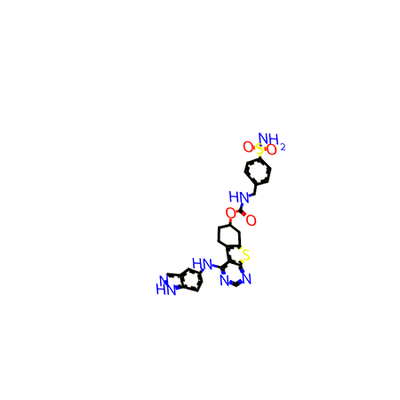 NS(=O)(=O)c1ccc(CNC(=O)OC2CCc3c(sc4ncnc(Nc5ccc6[nH]ncc6c5)c34)C2)cc1